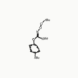 CCCCc1ccc(O/C(=N/OOC(C)(C)C)NC)cc1